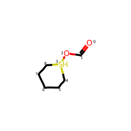 O=CO[SH]1CCCCC1